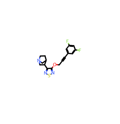 Fc1cc(F)cc(C#CCOc2nsnc2C2CN3CCC2C3)c1